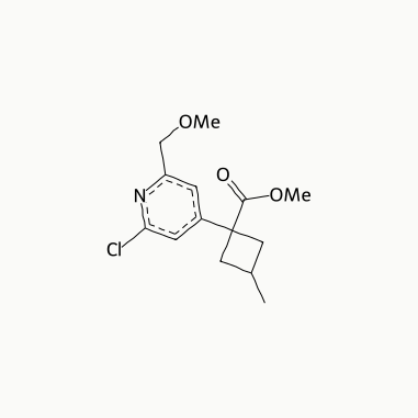 COCc1cc(C2(C(=O)OC)CC(C)C2)cc(Cl)n1